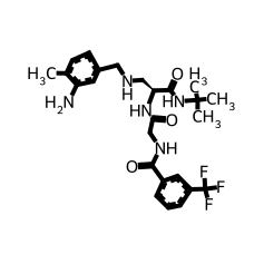 Cc1ccc(CNC[C@H](NC(=O)CNC(=O)c2cccc(C(F)(F)F)c2)C(=O)NC(C)(C)C)cc1N